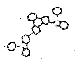 c1ccc(-n2c(-c3ccc4c5ccccc5c5cc(-c6ccc7c(c6)c6ccccc6n7-c6ccccc6)ccc5c4c3)nc3ccccc32)cc1